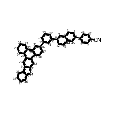 N#Cc1ccc(-c2ccc3cc(-c4cccc(-c5ccc6c(c5)c5ccccc5c5cc7c(cc65)sc5ccccc57)c4)ccc3c2)cc1